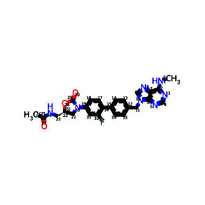 CNc1ncnc2c1ncn2Cc1ccc(-c2ccc(N3C[C@H](CNC(C)=O)OC3=O)cc2F)cc1